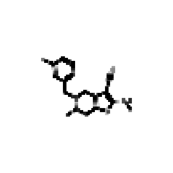 CNc1sc2c(c1C#N)CN(Cc1cccc(F)c1)C(C)C2